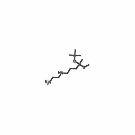 CO[Si](C)(CCCNCCN)O[Si](C)(C)C